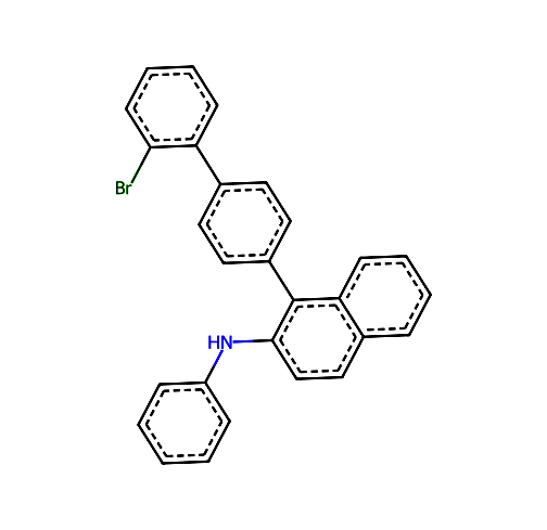 Brc1ccccc1-c1ccc(-c2c(Nc3ccccc3)ccc3ccccc23)cc1